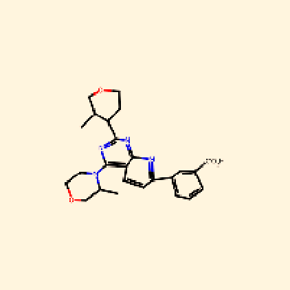 CC1COCCC1c1nc(N2CCOCC2C)c2ccc(-c3cccc(C(=O)O)c3)nc2n1